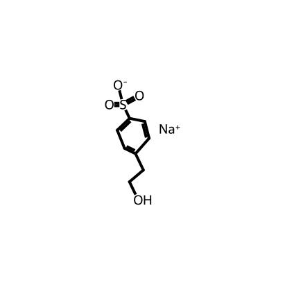 O=S(=O)([O-])c1ccc(CCO)cc1.[Na+]